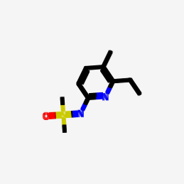 CCc1nc(N=S(C)(C)=O)ccc1C